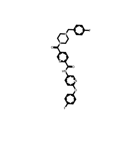 O=C(Nc1ccc(Oc2ccc(F)cc2)nc1)c1ccc(C(=O)N2CCN(Cc3ccc(F)cc3)CC2)cn1